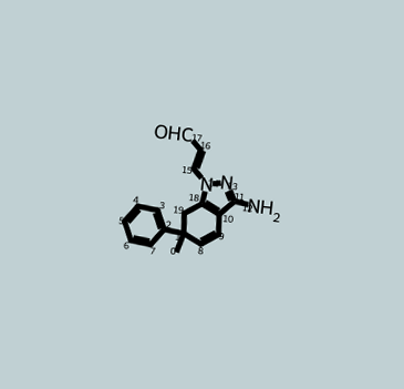 CC1(c2ccccc2)C=Cc2c(N)nn(C=CC=O)c2C1